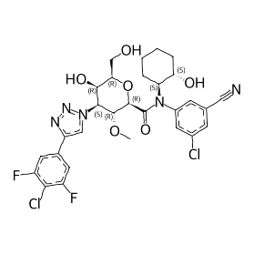 CO[C@@H]1[C@@H](n2cc(-c3cc(F)c(Cl)c(F)c3)nn2)[C@@H](O)[C@@H](CO)O[C@H]1C(=O)N(c1cc(Cl)cc(C#N)c1)[C@H]1CCCC[C@@H]1O